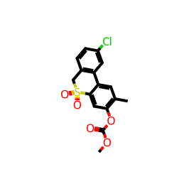 COC(=O)Oc1cc2c(cc1C)-c1cc(Cl)ccc1CS2(=O)=O